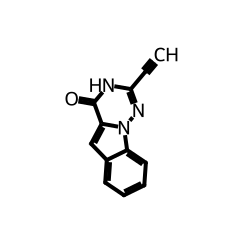 C#Cc1nn2c(cc3ccccc32)c(=O)[nH]1